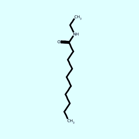 CCCCCCCCCC(=O)NCC